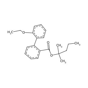 CCCC(C)(C)OC(=O)c1ccccc1-c1ccccc1OCC